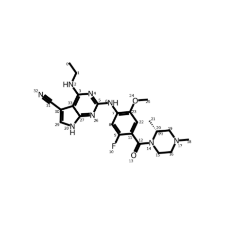 CCNc1nc(Nc2cc(F)c(C(=O)N3CCN(C)C[C@H]3C)cc2OC)nc2[nH]cc(C#N)c12